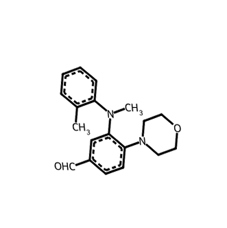 Cc1ccccc1N(C)c1cc(C=O)ccc1N1CCOCC1